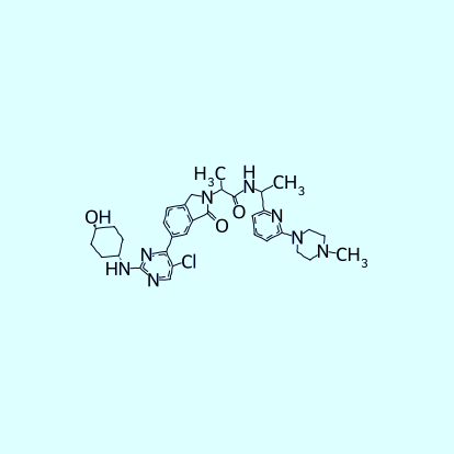 CC(NC(=O)C(C)N1Cc2ccc(-c3nc(N[C@H]4CC[C@H](O)CC4)ncc3Cl)cc2C1=O)c1cccc(N2CCN(C)CC2)n1